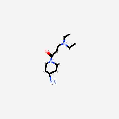 CCN(CC)CCC(=O)N1CCC(N)CC1